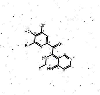 CCN/C(C(=O)c1cc(Br)c(O)c(Br)c1)=C1/C=NC=CC1=N